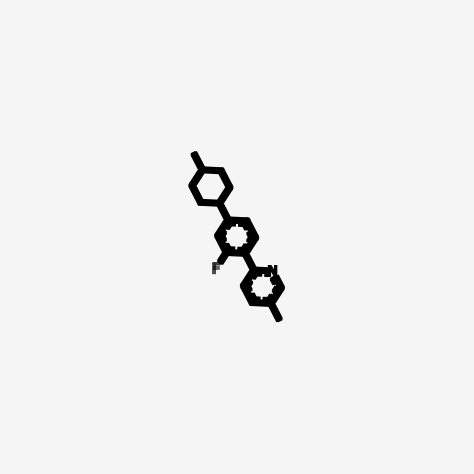 Cc1ccc(-c2ccc(C3CCC(C)CC3)cc2F)nc1